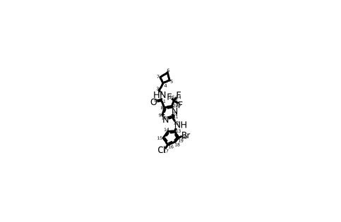 O=C(NCC1CCC1)c1cnc(Nc2ccc(Cl)cc2Br)nc1C(F)(F)F